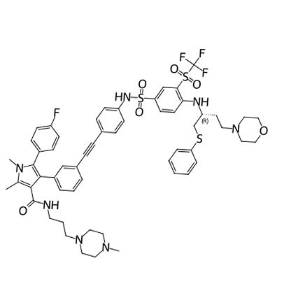 Cc1c(C(=O)NCCCN2CCN(C)CC2)c(-c2cccc(C#Cc3ccc(NS(=O)(=O)c4ccc(N[C@H](CCN5CCOCC5)CSc5ccccc5)c(S(=O)(=O)C(F)(F)F)c4)cc3)c2)c(-c2ccc(F)cc2)n1C